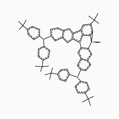 CC(C)(C)c1ccc(N(c2ccc(C(C)(C)C)cc2)c2ccc3cc4c(cc3c2)-n2c3cc5cc(N(c6ccc(C(C)(C)C)cc6)c6ccc(C(C)(C)C)cc6)ccc5cc3c3cc(C(C)(C)C)c5c(c32)[C@@H]45)cc1